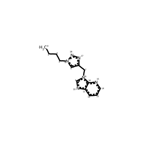 [CH2]CCCn1cc(Cn2cnc3cccnc32)nn1